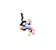 CCCCC[C@@H]1C[C@@H](C(=O)N[C@H](C(C)C)[C@H]2O[C@H](SC)[C@H](O)[C@@H](O)[C@H]2O)N(C[C@H](C)O)C1